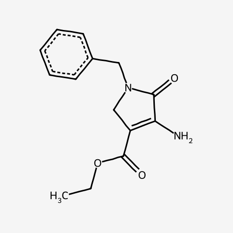 CCOC(=O)C1=C(N)C(=O)N(Cc2ccccc2)C1